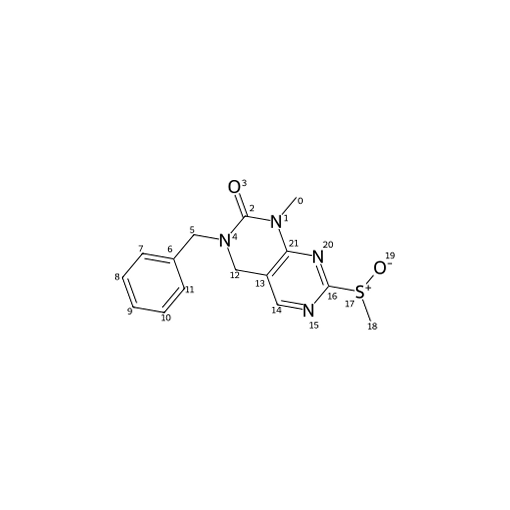 CN1C(=O)N(Cc2ccccc2)Cc2cnc([S+](C)[O-])nc21